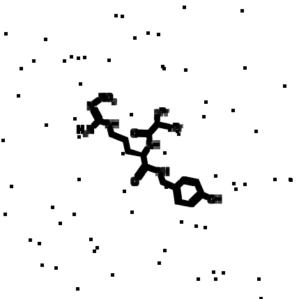 CCCC(CCC)C(=O)N[C@H](CCCN/C(N)=N\[N+](=O)[O-])C(=O)NCc1ccc(O)cc1